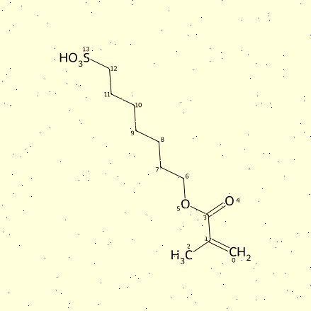 C=C(C)C(=O)OCCCCCCCS(=O)(=O)O